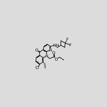 CCOC(=O)Cn1c2nc(NCC3CC(F)(F)C3)ccc2c(=O)c2ccc(Cl)c(SC)c21